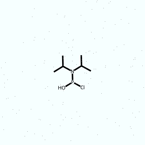 CC(C)N(C(C)C)P(O)Cl